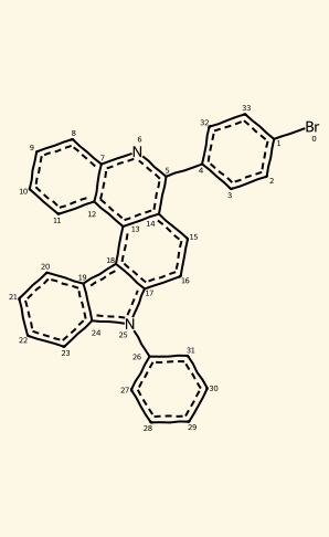 Brc1ccc(-c2nc3ccccc3c3c2ccc2c3c3ccccc3n2-c2ccccc2)cc1